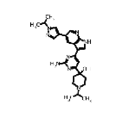 CC(C)N1CCC(O)(c2cc(-c3c[nH]c4ncc(-c5cnn(C(C)C)c5)cc34)nc(N)n2)CC1